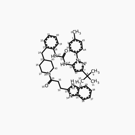 Cc1ccc(-n2nc(C(C)(C)C)cc2NC(=O)Nc2ccccc2CC2CCN(C(=O)CCc3nc4ccccc4[nH]3)CC2)cc1